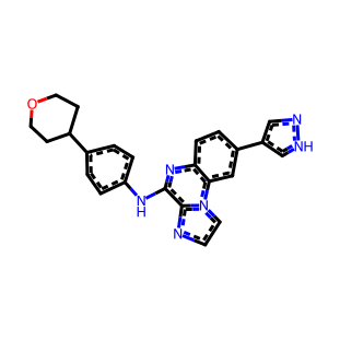 c1cn2c(n1)c(Nc1ccc(C3CCOCC3)cc1)nc1ccc(-c3cn[nH]c3)cc12